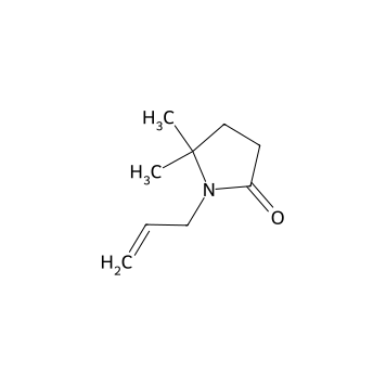 C=CCN1C(=O)CCC1(C)C